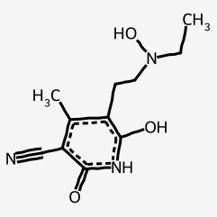 CCN(O)CCc1c(O)[nH]c(=O)c(C#N)c1C